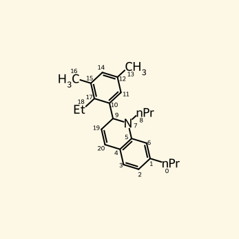 CCCc1ccc2c(c1)N(CCC)C(c1cc(C)cc(C)c1CC)C=C2